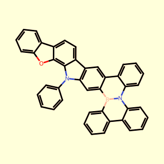 c1ccc(-n2c3cc4c(cc3c3ccc5c6ccccc6oc5c32)-c2ccccc2N2B4c3ccccc3-c3ccccc32)cc1